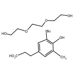 Cc1cc(CCC(=O)O)cc(C(C)(C)C)c1O.OCCOCCOCCO